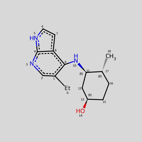 CCc1cnc2[nH]ccc2c1N[C@@H]1C[C@H](O)CC[C@H]1C